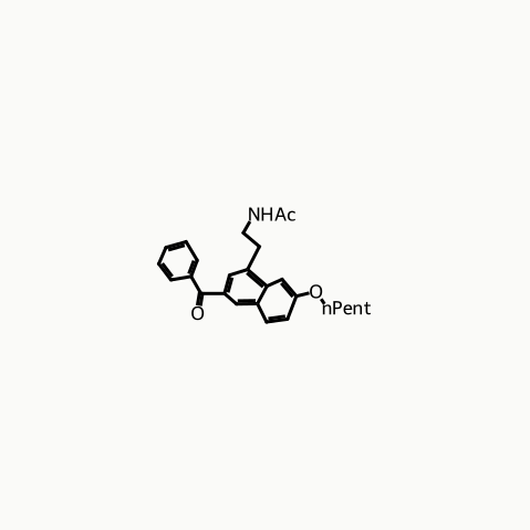 CCCCCOc1ccc2cc(C(=O)c3ccccc3)cc(CCNC(C)=O)c2c1